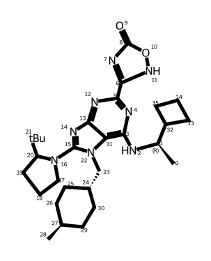 C[C@@H](Nc1nc(-c2nc(=O)o[nH]2)nc2nc(N3CCCC3C(C)(C)C)n(C[C@H]3CC[C@H](C)CC3)c12)C1CCC1